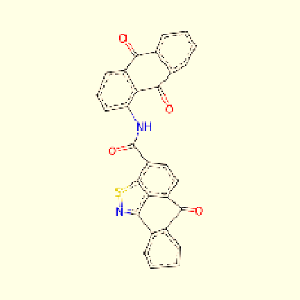 O=C1c2ccccc2C(=O)c2c(NC(=O)c3ccc4c5c(nsc35)-c3ccccc3C4=O)cccc21